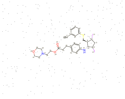 CC(C)(C)c1cccc(SC[C@H]2C(I)CC(I)[C@@H]2Nc2ccc(CCC(=O)OCCN3CCOCC3)cc2)c1